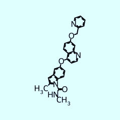 CNC(=O)n1c(C)cc2cc(Oc3ccnc4cc(OCc5ccccn5)ccc34)ccc21